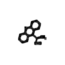 C=C(C=O)c1c2ccccc2nc2ccccc12